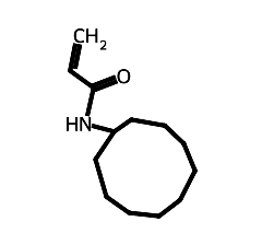 C=CC(=O)NC1CCCCCCCCC1